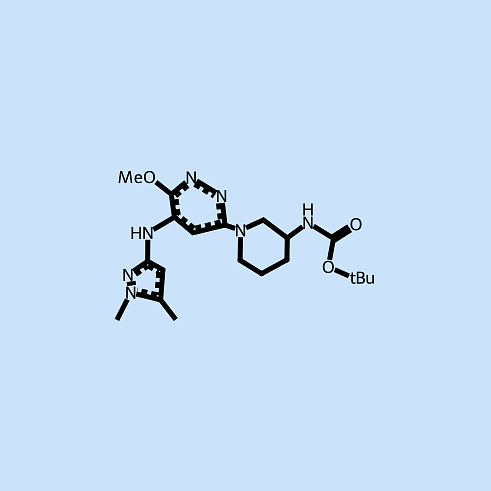 COc1nnc(N2CCCC(NC(=O)OC(C)(C)C)C2)cc1Nc1cc(C)n(C)n1